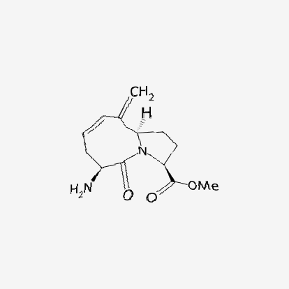 C=C1/C=C\C[C@H](N)C(=O)N2[C@@H]1CC[C@H]2C(=O)OC